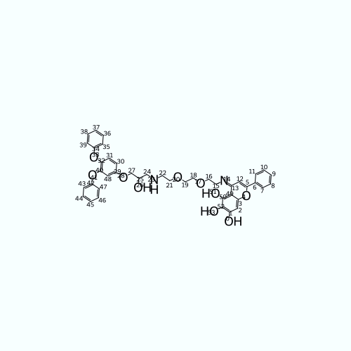 Oc1cc2oc(-c3ccccc3)c/c(=N/CCOCCOCCNCC(O)COc3ccc(Oc4ccccc4)c(Oc4ccccc4)c3)c2c(O)c1O